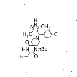 CCCCN1C(=O)C(CC(C)C)NC(=O)C12CCN(C(c1ccc(Cl)cc1)c1c(C)n[nH]c1C)CC2